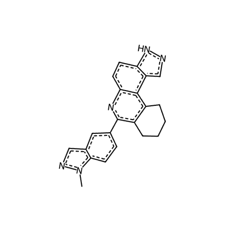 Cn1ncc2cc(-c3nc4ccc5[nH]ncc5c4c4c3CCCC4)ccc21